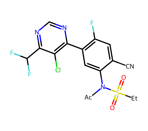 CCS(=O)(=O)N(C(C)=O)c1cc(-c2ncnc(C(F)F)c2Cl)c(F)cc1C#N